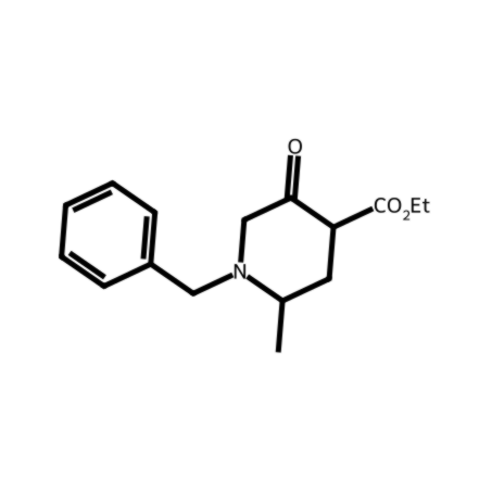 CCOC(=O)C1CC(C)N(Cc2ccccc2)CC1=O